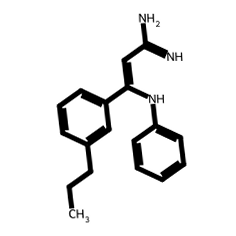 CCCc1cccc(/C(=C/C(=N)N)Nc2ccccc2)c1